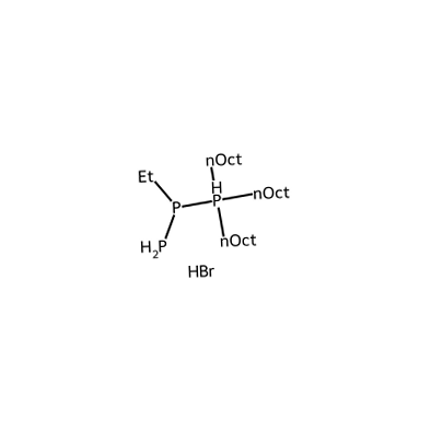 Br.CCCCCCCC[PH](CCCCCCCC)(CCCCCCCC)P(P)CC